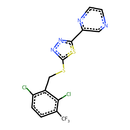 FC(F)(F)c1ccc(Cl)c(CSc2nnc(-c3cnccn3)s2)c1Cl